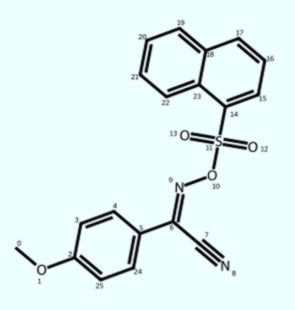 COc1ccc(C(C#N)=NOS(=O)(=O)c2cccc3ccccc23)cc1